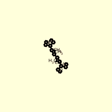 CC1(C)c2cc(-c3cc(-c4cccc5cccnc45)cc(-c4cccc5cccnc45)c3)ccc2-c2ccc(-c3ccc4c(c3)C(C)(C)c3cc(-c5cc(-c6cccc7cccnc67)cc(-c6cccc7cccnc67)c5)ccc3-4)cc21